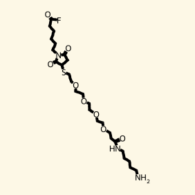 NCCCCCNC(=O)CCOCCOCCOCCOCCSC1CC(=O)N(CCCCCC(=O)F)C1=O